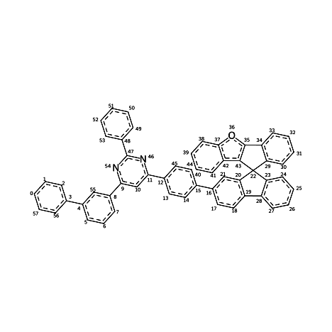 c1ccc(-c2cccc(-c3cc(-c4ccc(-c5ccc6c(c5)C5(c7ccccc7-6)c6ccccc6-c6oc7ccccc7c65)cc4)nc(-c4ccccc4)n3)c2)cc1